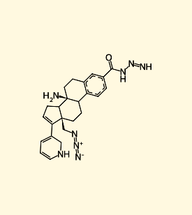 [N-]=[N+]=NC[C@]12CCC3c4ccc(C(=O)NN=N)cc4CC[C@@]3(N)C1CC=C2C1=CC=CNC1